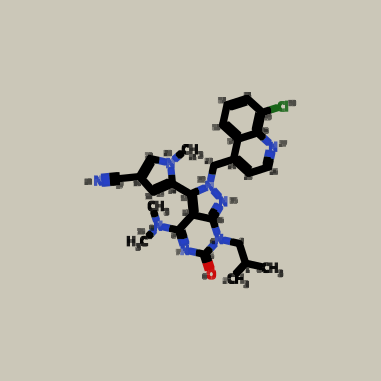 CC(C)Cn1c(=O)nc(N(C)C)c2c(-c3cc(C#N)cn3C)n(Cc3ccnc4c(Cl)cccc34)nc21